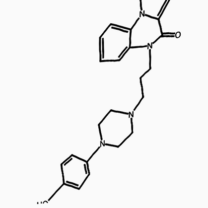 O=c1c2cccn2c2ccccc2n1CCCN1CCN(c2ccc(O)cc2)CC1